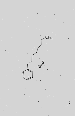 CCCCCCCCc1cc[c]cc1.[S]=[Ni]